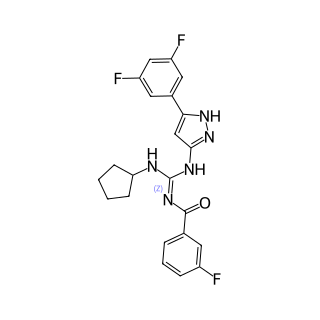 O=C(/N=C(\Nc1cc(-c2cc(F)cc(F)c2)[nH]n1)NC1CCCC1)c1cccc(F)c1